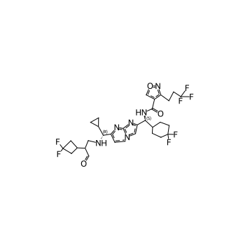 O=CC(CN[C@@H](c1ccn2cc([C@@H](NC(=O)c3conc3CCC(F)(F)F)C3CCC(F)(F)CC3)nc2n1)C1CC1)C1CC(F)(F)C1